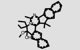 CCC1(CC)[n+]2c(C)nc3c(c2-c2cc4ccccc4cc2C1(O)OC)C(C)(C)c1cc2ccccc2cc1-3